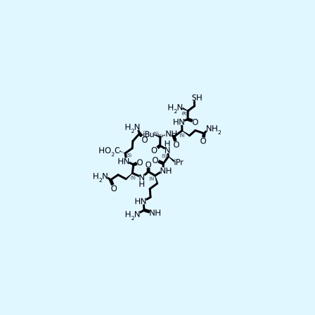 CC[C@H](C)[C@H](NC(=O)[C@H](CCC(N)=O)NC(=O)[C@@H](N)CS)C(=O)N[C@H](C(=O)N[C@@H](CCCNC(=N)N)C(=O)N[C@@H](CCC(N)=O)C(=O)N[C@@H](CCC(N)=O)C(=O)O)C(C)C